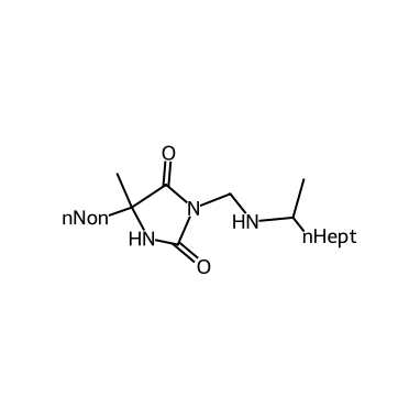 CCCCCCCCCC1(C)NC(=O)N(CNC(C)CCCCCCC)C1=O